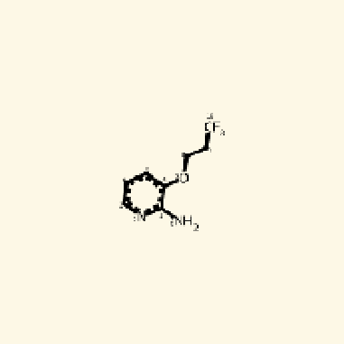 Nc1ncccc1OCCC(F)(F)F